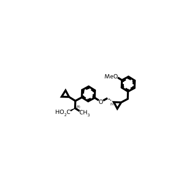 COc1cccc(CC2C[C@@H]2COc2cccc(C(C3CC3)[C@@H](C)C(=O)O)c2)c1